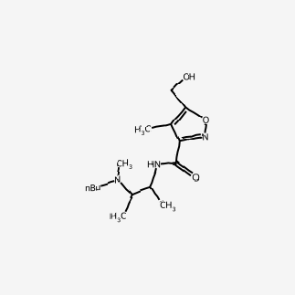 CCCCN(C)C(C)C(C)NC(=O)c1noc(CO)c1C